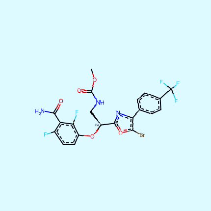 COC(=O)NC[C@H](Oc1ccc(F)c(C(N)=O)c1F)c1nc(-c2ccc(C(F)(F)F)cc2)c(Br)o1